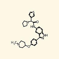 CN1CCC(Oc2ccc(-c3n[nH]c4ccc(NC(=O)C(c5ccsc5)N5CCCC5)cc34)cc2)CC1